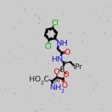 CC(C)C[C@H](NC(=O)CNc1cc(Cl)ccc1Cl)B1OC(=O)[C@@H]([C@@H](N)C(=O)O)O1